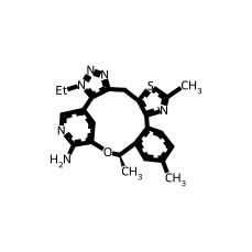 CCn1nnc2c1-c1cnc(N)c(c1)O[C@H](C)c1cc(C)ccc1-c1nc(C)sc1C2